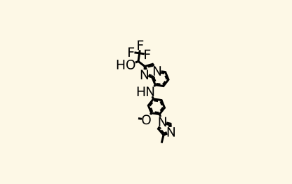 COc1cc(Nc2cccn3cc(C(O)C(F)(F)F)nc23)ccc1-n1cnc(C)c1